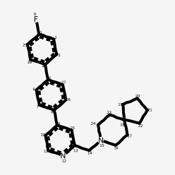 Fc1ccc(-c2ccc(-c3ccnc(CN4CCC5(CCCC5)CC4)c3)cc2)cc1